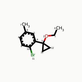 CCOC1(c2cc(C)ccc2Br)CC1